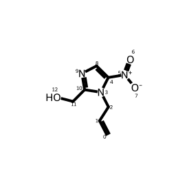 C=CCn1c([N+](=O)[O-])cnc1CO